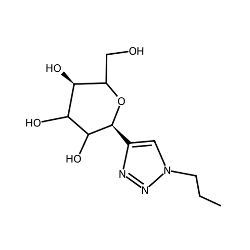 CCCn1cc([C@@H]2OC(CO)[C@H](O)C(O)C2O)nn1